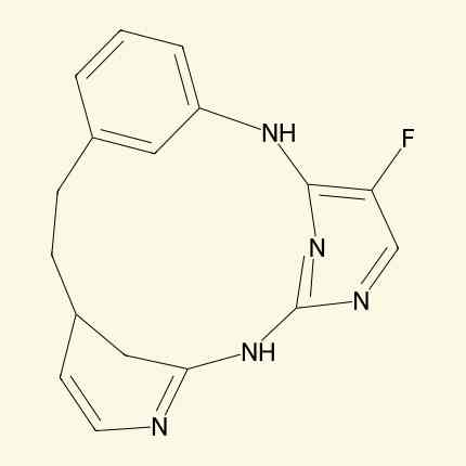 Fc1cnc2nc1Nc1cccc(c1)CCC1C=CN=C(C1)N2